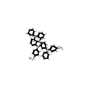 Cc1ccc(N2C3=CC=CC4C3B(c3ccc(N(c5ccccc5)c5ccc(C)cc5)cc32)c2ccccc2N4c2ccccc2)cc1